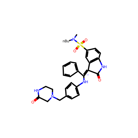 CCCCN(C)S(=O)(=O)c1ccc2c(c1)/C(=C(/Nc1ccc(CN3CCNC(=O)C3)cc1)c1ccccc1)C(=O)N2